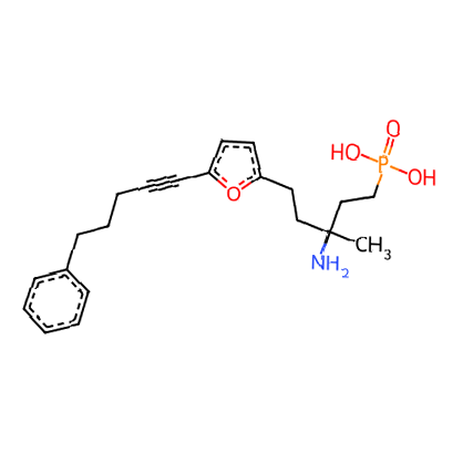 CC(N)(CCc1ccc(C#CCCCc2ccccc2)o1)CCP(=O)(O)O